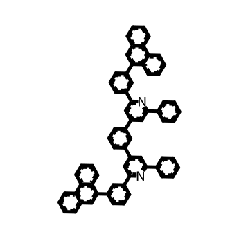 c1ccc(-c2cc(-c3cccc(-c4cc(-c5ccccc5)nc(-c5cccc(-c6cc7ccccc7c7ccccc67)c5)c4)c3)cc(-c3cccc(-c4cc5ccccc5c5ccccc45)c3)n2)cc1